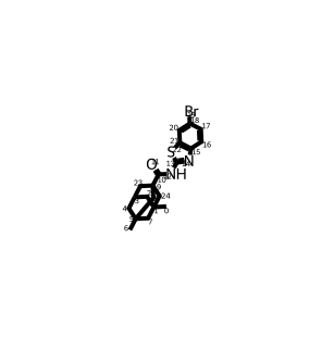 CC12CC3CC(C)(C1)CC(C(=O)Nc1nc4ccc(Br)cc4s1)(C3)C2